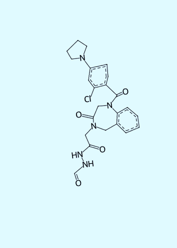 O=CNNC(=O)CN1Cc2ccccc2N(C(=O)c2ccc(N3CCCC3)cc2Cl)CC1=O